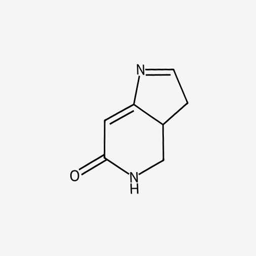 O=C1C=C2N=CCC2CN1